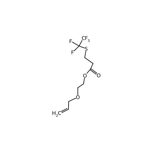 C=CCOCCOC(=O)CCSC(F)(F)C(F)(F)F